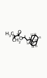 C=C(C)C(=O)OCCC12CC3CC(CC(C3)C1)C2